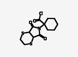 O=C1C2SCCSC2C(=O)N1C1(C(=O)Cl)CCCCC1